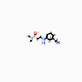 CN(C)[S+]([O-])CCNC1CCC[C@@H](C#N)C1